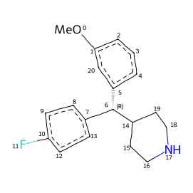 COc1cccc([C@@H](c2ccc(F)cc2)C2CCNCC2)c1